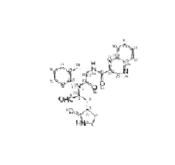 O=C[C@H](C[C@@H]1CCNC1=O)NC(=O)[C@H](Cc1ccccc1)NC(=O)c1cnc2ccccc2n1